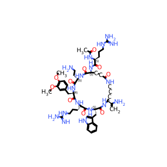 C=C(N)[C@@H]1CCCNC(=O)CC[C@H](NC(=O)[C@H](CCCNC(=N)N)NC(C)=O)C(=O)N[C@@H](CCN)C(=O)N[C@H](Cc2ccc(OC)c(OC)c2)C(=O)N[C@@H](CCCNC(=N)N)C(=O)N[C@@H](Cc2c[nH]c3ccccc23)C(=O)N1